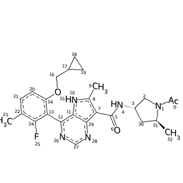 CC(=O)N1C[C@@H](NC(=O)c2c(C)[nH]c3c(-c4c(OCC5CC5)ccc(C)c4F)ncnc23)C[C@@H]1C